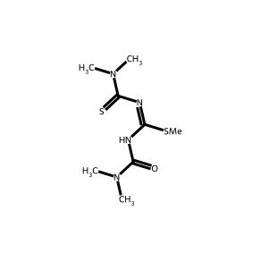 CSC(=NC(=S)N(C)C)NC(=O)N(C)C